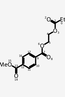 CCC(=O)OCCOC(=O)c1ccc(C(=O)OC)cc1